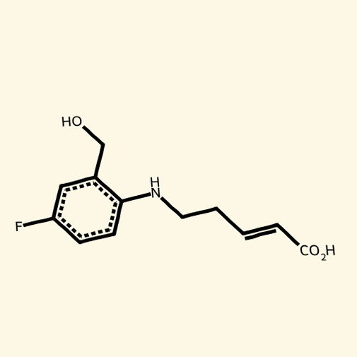 O=C(O)C=CCCNc1ccc(F)cc1CO